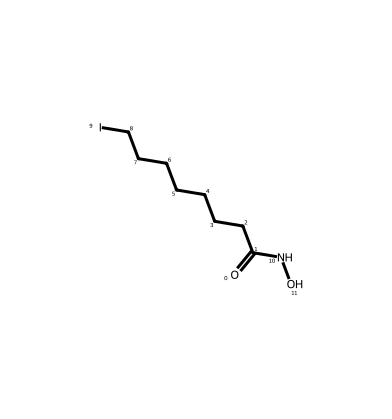 O=C(CCCCCCCI)NO